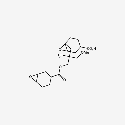 COCC(C)(COC(=O)C1CCC2OC2C1)CC12CCC(C(=O)O)CC1O2